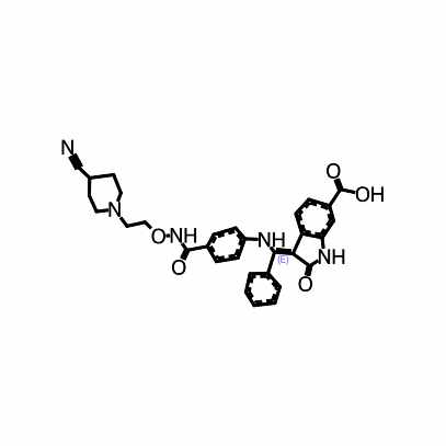 N#CC1CCN(CCONC(=O)c2ccc(N/C(=C3/C(=O)Nc4cc(C(=O)O)ccc43)c3ccccc3)cc2)CC1